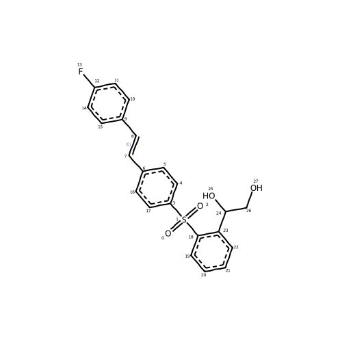 O=S(=O)(c1ccc(/C=C/c2ccc(F)cc2)cc1)c1ccccc1C(O)CO